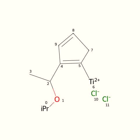 CC(C)OC(C)C1=[C]([Ti+2])CC=C1.[Cl-].[Cl-]